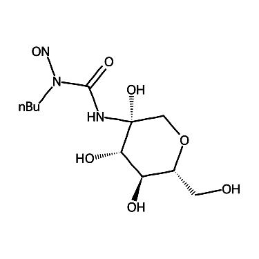 CCCCN(N=O)C(=O)N[C@@]1(O)CO[C@H](CO)[C@@H](O)[C@@H]1O